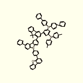 Cc1ccc(N(c2ccc(C)cc2)c2cc(-c3cc(-c4ccc5c(c4)c4cc(-c6ccccc6)ccc4n5-c4ccc(-c5cccc6c5oc5ccccc56)cc4)c4c(c3)-c3ccccc3C4(C)C)cc(N(c3ccc(-c4ccccc4)cc3)c3ccc(-c4ccccc4)cc3)c2)cc1